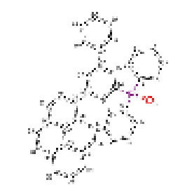 O=P(c1ccccc1)(c1ccccc1)c1cc(-c2ccccc2)cc(-c2ccc3ccc4cccc5ccc2c3c45)c1